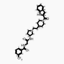 O=C(CNC(=O)c1cccc(C(F)(F)F)c1)N[C@@H]1CCN(CCC2CCN(C(=O)c3cc4ccccc4[nH]3)CC2)C1